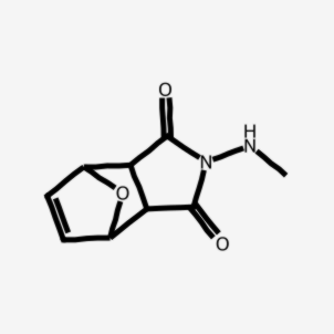 CNN1C(=O)C2C3C=CC(O3)C2C1=O